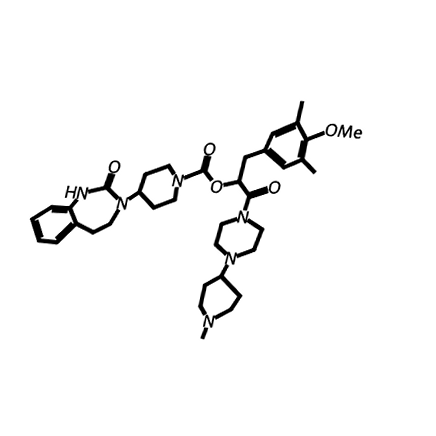 COc1c(C)cc(CC(OC(=O)N2CCC(N3CCc4ccccc4NC3=O)CC2)C(=O)N2CCN(C3CCN(C)CC3)CC2)cc1C